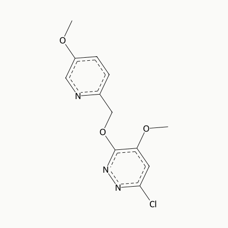 COc1ccc(COc2nnc(Cl)cc2OC)nc1